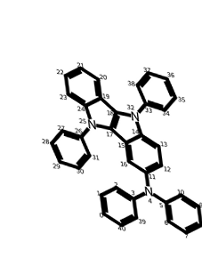 c1ccc(N(c2ccccc2)c2ccc3c(c2)c2c(c4ccccc4n2-c2ccccc2)n3-c2ccccc2)cc1